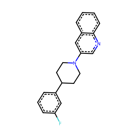 Fc1cccc(C2CCN(c3[c]nc4ccccc4c3)CC2)c1